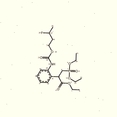 CCOC(=O)C(CP(=O)(OCC)OCC)c1ccccc1NC(=O)OCCC(C)F